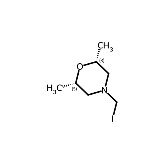 C[C@@H]1CN(CI)C[C@H](C)O1